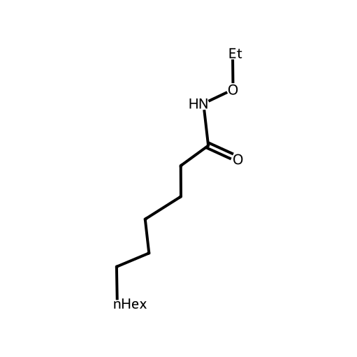 CCCCCCCCCCCC(=O)NOCC